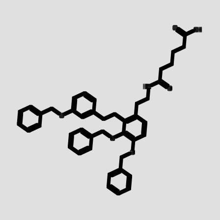 O=C(O)CCCCC(=O)NCCc1ccc(OCc2ccccc2)c(OCc2ccccc2)c1CCc1cccc(OCc2ccccc2)c1